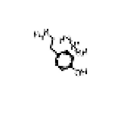 N=[N+]=N.NCCc1ccc(O)cc1